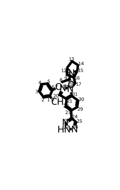 Cc1ccccc1OCC(=O)N1C2CCC1C(Cn1ncc3cc(-c4cn[nH]n4)ccc31)C2